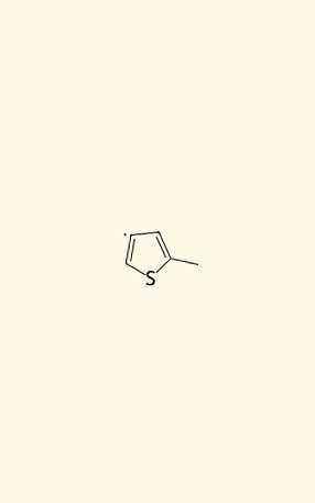 Cc1c[c]cs1